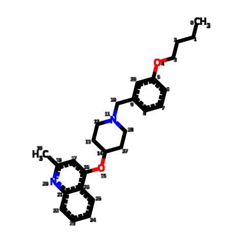 CCCCOc1cccc(CN2CCC(Oc3cc(C)nc4ccccc34)CC2)c1